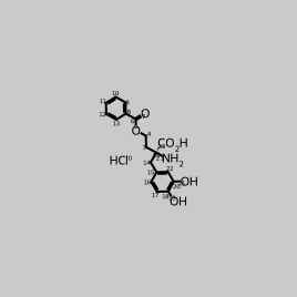 Cl.N[C@](CCOC(=O)c1ccccc1)(Cc1ccc(O)c(O)c1)C(=O)O